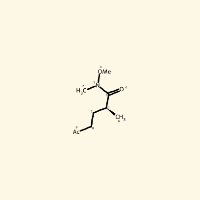 CON(C)C(=O)[C@@H](C)CCC(C)=O